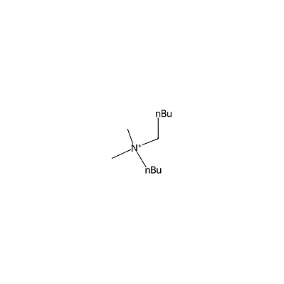 CCCCC[N+](C)(C)CCCC